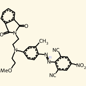 COCCN(CCN1C(=O)c2ccccc2C1=O)c1ccc(/N=N/c2c(C#N)cc([N+](=O)[O-])cc2C#N)c(C)c1